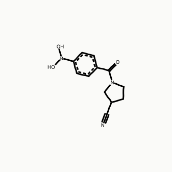 N#CC1CCN(C(=O)c2ccc(B(O)O)cc2)C1